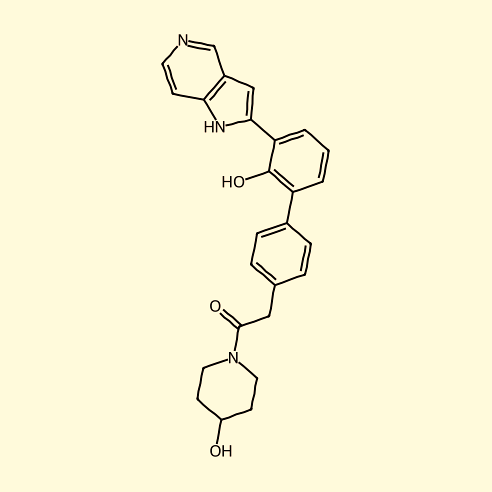 O=C(Cc1ccc(-c2cccc(-c3cc4cnccc4[nH]3)c2O)cc1)N1CCC(O)CC1